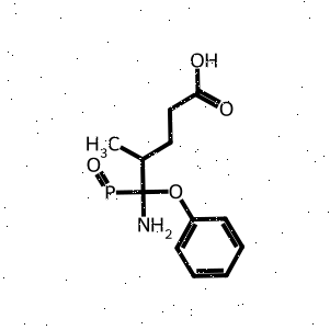 CC(CCC(=O)O)C(N)(Oc1ccccc1)P=O